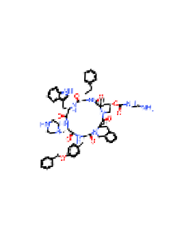 NCCNC(=O)O[C@@H]1C[C@H]2C(=O)N[C@H](CCc3ccccc3)C(=O)N[C@H](Cc3c[nH]c4ccccc34)C(=O)N[C@@H](CN3CCNCC3)C(=O)N[C@@H](Cc3ccc(OCc4ccccc4)cc3)C(=O)N3Cc4ccccc4C[C@H]3C(=O)N2C1